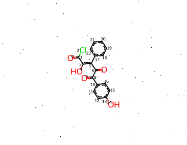 O=C(Cl)C(O)=C(C(=O)C(=O)c1ccc(O)cc1)c1ccccc1